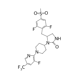 CS(=O)(=O)c1cc(F)c(CC2CNC(=O)N2C2CCN(c3ncc(C(F)(F)F)cc3F)CC2)c(F)c1